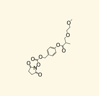 COCCOCC(C)C(=O)Oc1ccc(COC(=O)ON2C(=O)CCC2=O)cc1